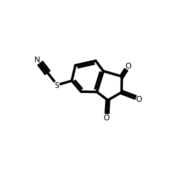 N#CSc1ccc2c(=O)c(=O)c(=O)c2c1